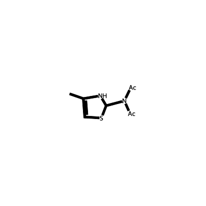 CC(=O)N(C(C)=O)C1NC(C)=CS1